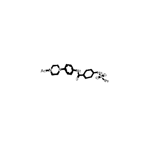 CC(=O)N1CCN(c2ccc(NC(=O)C3CCC(NS(=O)(=O)C(C)C)CC3)cc2)CC1